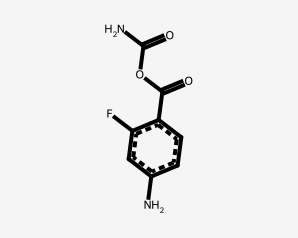 NC(=O)OC(=O)c1ccc(N)cc1F